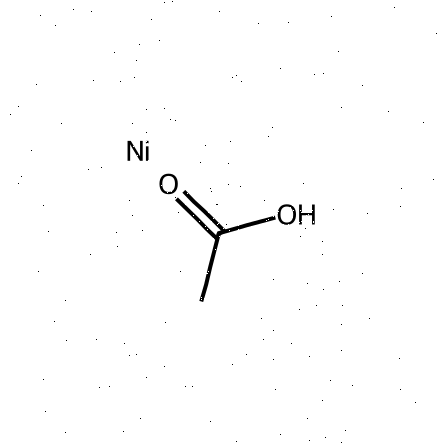 CC(=O)O.[Ni]